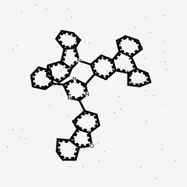 c1ccc(-c2nc(-c3ccc4oc5ccccc5c4c3)nc(-c3cc4c5ccccc5c5ccccc5c4cc3-n3c4ccccc4c4ccccc43)n2)cc1